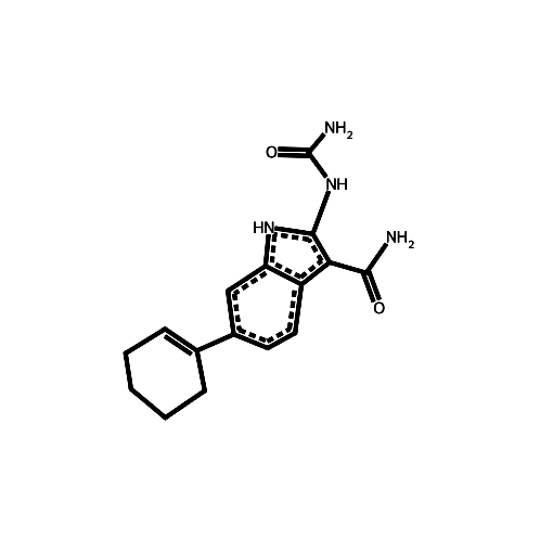 NC(=O)Nc1[nH]c2cc(C3=CCCCC3)ccc2c1C(N)=O